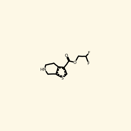 O=C(OCC(F)F)c1csc2c1CCNC2